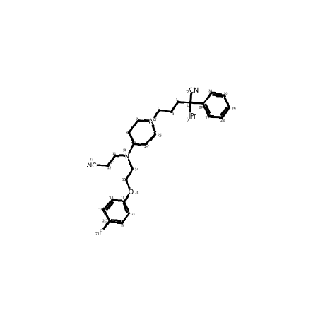 CC(C)C(C#N)(CCCN1CCC(N(CCC#N)CCOc2ccc(F)cc2)CC1)c1ccccc1